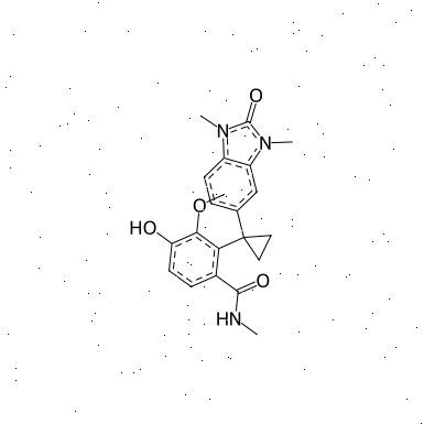 CNC(=O)c1ccc(O)c(OC)c1C1(c2ccc3c(c2)n(C)c(=O)n3C)CC1